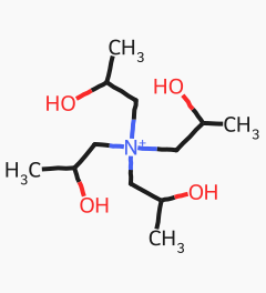 CC(O)C[N+](CC(C)O)(CC(C)O)CC(C)O